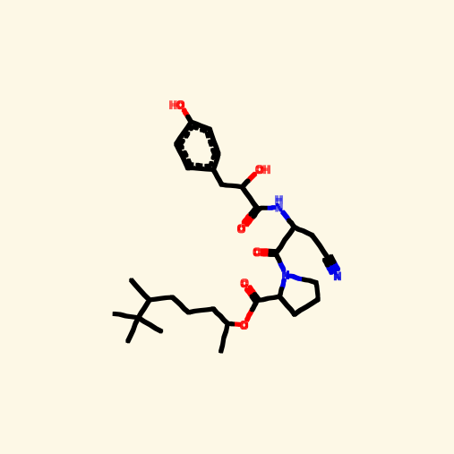 CC(CCCC(C)C(C)(C)C)OC(=O)C1CCCN1C(=O)C(CC#N)NC(=O)C(O)Cc1ccc(O)cc1